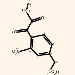 CCNC(=O)C(=O)c1ccc(CC(=O)O)cc1[N+](=O)[O-]